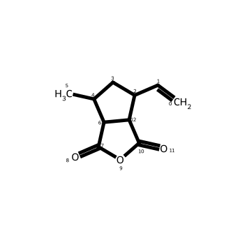 C=CC1CC(C)C2C(=O)OC(=O)C12